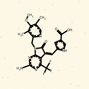 COc1c(C)cnc(CN2C(=O)C(=Cc3cc(C(=O)O)c[nH]3)c3c2nc(N)nc3C(F)(F)F)c1C